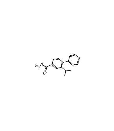 CC(C)c1cc(C(N)=O)ccc1-c1ccccc1